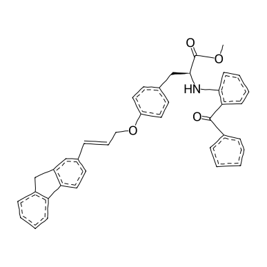 COC(=O)[C@H](Cc1ccc(OCC=Cc2ccc3c(c2)Cc2ccccc2-3)cc1)Nc1ccccc1C(=O)c1ccccc1